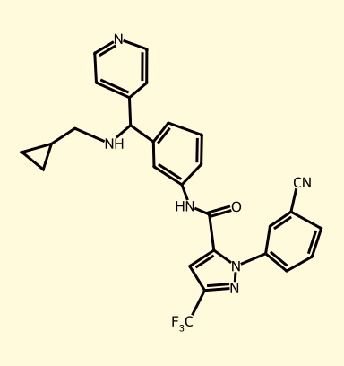 N#Cc1cccc(-n2nc(C(F)(F)F)cc2C(=O)Nc2cccc(C(NCC3CC3)c3ccncc3)c2)c1